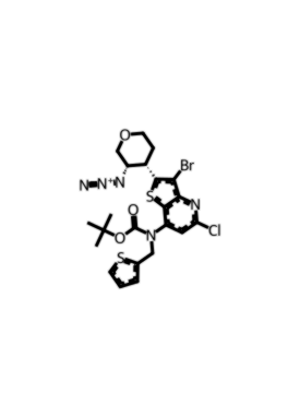 CC(C)(C)OC(=O)N(Cc1cccs1)c1cc(Cl)nc2c(Br)c([C@H]3CCOC[C@H]3N=[N+]=[N-])sc12